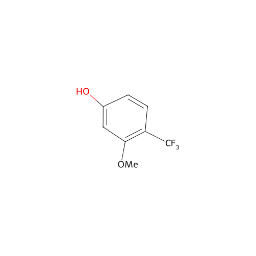 COc1cc(O)ccc1C(F)(F)F